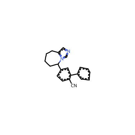 N#Cc1ccc(C2CCCCc3cncn32)cc1-c1ccccc1